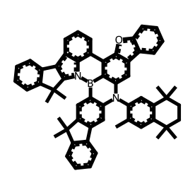 Cc1cc2c(cc1N1c3cc4c(cc3B3c5c1cc1c(oc6ccccc61)c5-c1cccc5c6c(n3c15)C(C)(C)c1ccccc1-6)C(C)(C)c1ccccc1-4)C(C)(C)CCC2(C)C